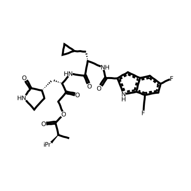 CC(C)[C@H](C)C(=O)OCC(=O)[C@H](C[C@@H]1CCNC1=O)NC(=O)[C@H](CC1CC1)NC(=O)c1cc2cc(F)cc(F)c2[nH]1